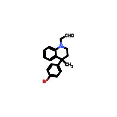 CC1(c2ccc(Br)cc2)CCN(CC=O)c2ccccc21